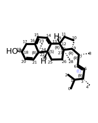 CC(C)[C@@H](C)/C=C/[C@@H](C)[C@H]1CC[C@H]2C3=CC=C4C[C@@H](O)C=C[C@]4(C)[C@H]3CC[C@]12C